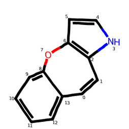 C1=Cc2[nH]ccc2Oc2ccccc21